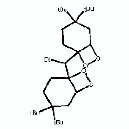 CCC(C12CCC(C(C)(C)C)(C(C)(C)C)CC1OO2)C12CCC(C(C)(C)C)(C(C)(C)C)CC1OO2